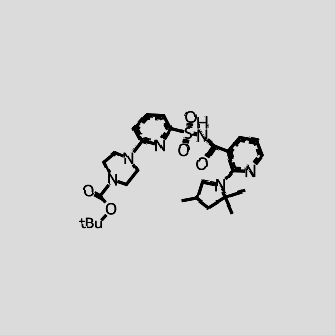 CC1CN(c2ncccc2C(=O)NS(=O)(=O)c2cccc(N3CCN(C(=O)OC(C)(C)C)CC3)n2)C(C)(C)C1